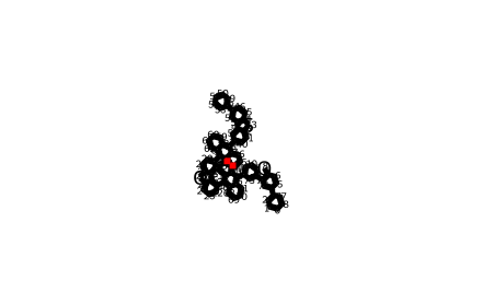 c1ccc(-c2ccc3oc4ccc(-c5c6ccccc6c(-c6cccc7oc8ccc(-c9c%10ccccc%10c(-c%10ccc%11sc%12ccc(-c%13ccccc%13)cc%12c%11c%10)c%10ccccc9%10)cc8c67)c6ccccc56)cc4c3c2)cc1